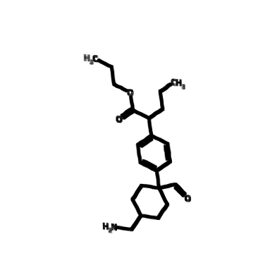 CCCOC(=O)C(CCC)c1ccc(C2(C=O)CCC(CN)CC2)cc1